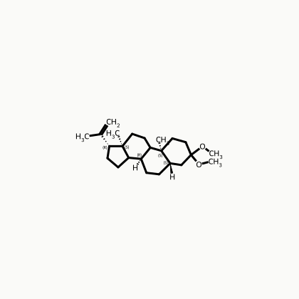 C=C(C)[C@H]1CCC2[C@@H]3CC[C@H]4CC(OC)(OC)CC[C@]4(C)C3CC[C@@]21C